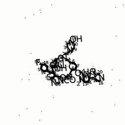 O=C(O)[C@H]1Cc2cc(ccc2OCc2nccc(-c3ccncc3O)n2)CN(CCN2CCN(O)CC2)Cc2ccc(c(O)c2Cl)-c2c(-c3ccc(F)cc3)sc3ncnc(c23)O1